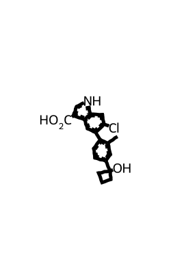 Cc1cc(C2(O)CCC2)ccc1-c1cc2c(C(=O)O)c[nH]c2cc1Cl